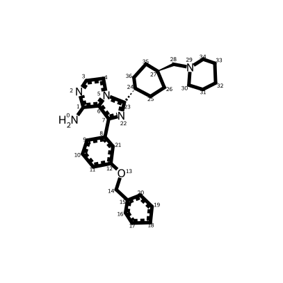 Nc1nccn2c1c(-c1cccc(OCc3ccccc3)c1)nc2[C@H]1CC[C@H](CN2CCCCC2)CC1